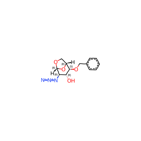 [N-]=[N+]=N[C@H]1[C@@H]2OC[C@@H](O2)[C@@H](OCc2ccccc2)[C@@H]1O